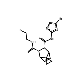 O=C(NCCF)[C@@H]1C2C=CC([C@H]1C(=O)Nc1ncc(Br)s1)C21CC1